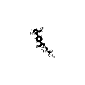 CC(=O)NCn1cc(-c2ccc(-c3[nH]ccc3C=O)cc2)c(=O)o1